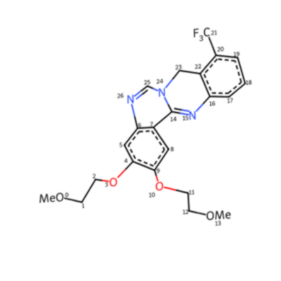 COCCOc1cc2c(cc1OCCOC)C1=Nc3cccc(C(F)(F)F)c3CN1C=N2